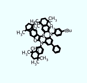 CC(C)(C)c1ccc(N2c3cc4c(cc3B3c5c2cc(-c2ccccc2)cc5N(c2ccc5c(c2)C(C)(C)CCC5(C)C)c2oc5cc6c(cc5c23)C2(C)CCC6(C)CC2)C(C)(C)CCC4(C)C)cc1